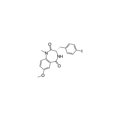 COc1ccc2c(c1)C(=O)N[C@@H](Cc1ccc(I)cc1)C(=O)N2C